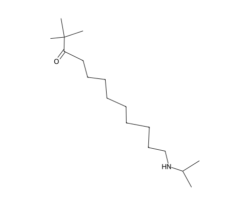 CC(C)NCCCCCCCCCC(=O)C(C)(C)C